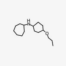 CCCOC1CCC(NC2CCCCCC2)CC1